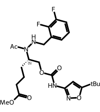 COC(=O)CCC[C@@H](COC(=O)Nc1cc(C(C)(C)C)on1)N(NCc1cccc(F)c1F)C(C)=O